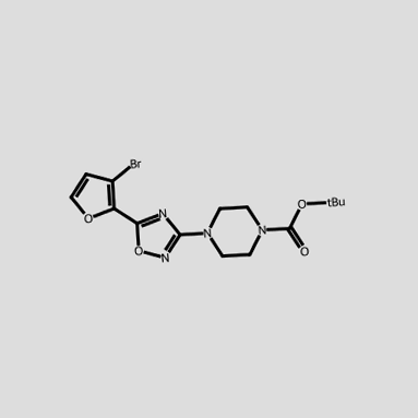 CC(C)(C)OC(=O)N1CCN(c2noc(-c3occc3Br)n2)CC1